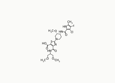 COCC(COC)NC(=O)c1nc(N2CC[C@@H](NC(=O)c3[nH]c(C)c(I)c3Cl)[C@@H](OC)C2)sc1C(=O)O